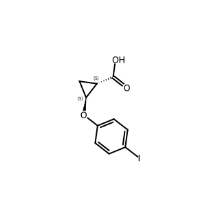 O=C(O)[C@H]1C[C@@H]1Oc1ccc(I)cc1